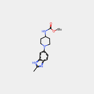 Cc1nc2ccc(N3CCC(NC(=O)OC(C)(C)C)CC3)cc2[nH]1